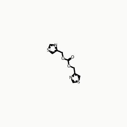 O=C(OCc1cscn1)OCc1cscn1